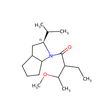 CCC(C(=O)N1C2CCCC2C[C@H]1C(C)C)C(C)OC